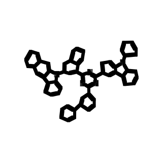 c1ccc(-c2cccc(-c3nc(-c4ccc5c(c4)c4ccccc4n5-c4ccccc4)nc(-c4cc(-n5c6ccccc6c6cc7ccccc7cc65)cc5ccccc45)n3)c2)cc1